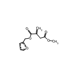 C=C(CC(=O)OC)C(=O)OCc1ccco1